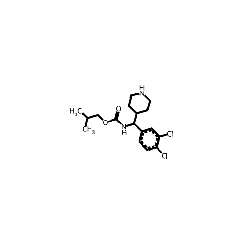 CC(C)COC(=O)NC(c1ccc(Cl)c(Cl)c1)C1CCNCC1